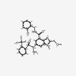 COCc1nc2c(C(=O)NCc3ccccc3Cl)cc(N(N)C(=O)c3ccccc3C(F)(F)F)cc2n1C